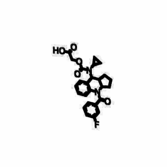 O=C(O)COC(=O)N(C1CC1)C1c2ccccc2N(C(=O)c2cccc(F)c2)C2CCCC21